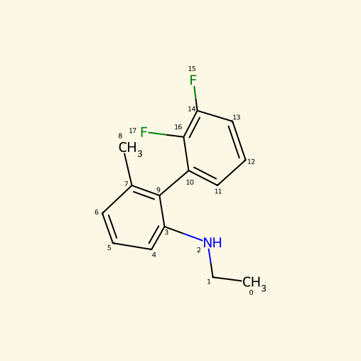 CCNc1cccc(C)c1-c1cccc(F)c1F